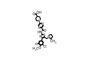 COc1c(F)cc(-c2nc(NC(=O)c3cnc(N4CCC(C(=O)O)CC4)cn3)sc2CN2CCC[C@H]2C)cc1Cl